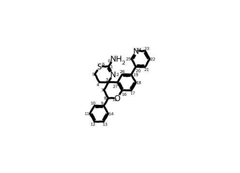 NC1=NC2(CCS1)CC(c1ccccc1)Oc1ccc(-c3cccnc3)cc12